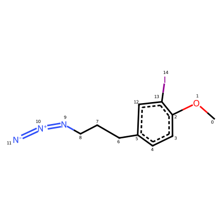 COc1ccc(CCCN=[N+]=[N-])cc1I